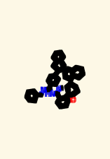 C=NC(N/C(=N\Cc1ccccc1)c1ccc(-c2ccc3ccccc3c2)cc1)c1cccc2oc3ccc(-c4cccc5ccccc45)cc3c12